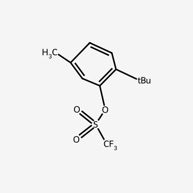 Cc1ccc(C(C)(C)C)c(OS(=O)(=O)C(F)(F)F)c1